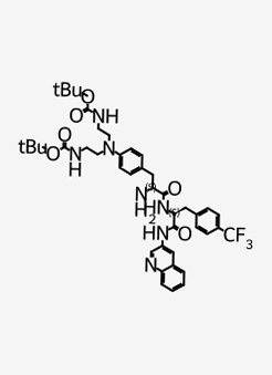 CC(C)(C)OC(=O)NCCN(CCNC(=O)OC(C)(C)C)c1ccc(C[C@H](N)C(=O)N[C@@H](Cc2ccc(C(F)(F)F)cc2)C(=O)Nc2cnc3ccccc3c2)cc1